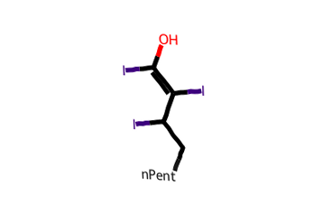 CCCCCCC(I)/C(I)=C(/O)I